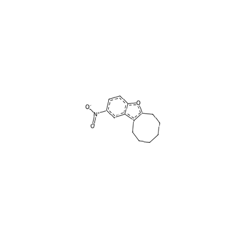 O=[N+]([O-])c1ccc2oc3c(c2c1)CCCCCC3